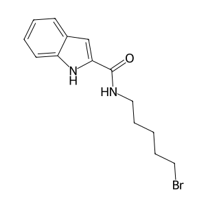 O=C(NCCCCCBr)c1cc2ccccc2[nH]1